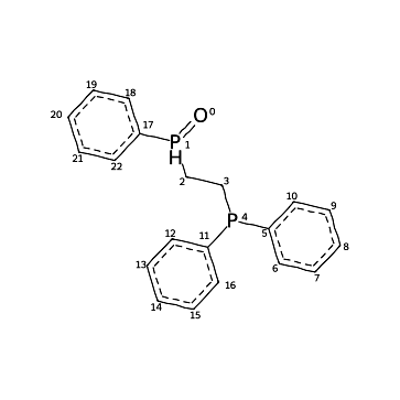 O=[PH](CCP(c1ccccc1)c1ccccc1)c1ccccc1